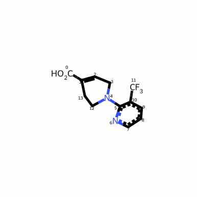 O=C(O)C1=CCN(c2ncccc2C(F)(F)F)CC1